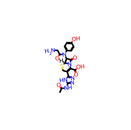 CC(=O)Nc1nnc(C2=C(C(=O)O)N3C(=O)C(N(C(=O)CN)c4ccc(O)cc4)[C@@H]3SC2)[nH]1